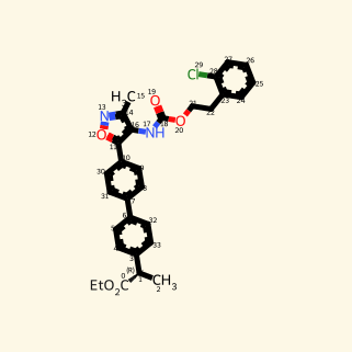 CCOC(=O)[C@H](C)c1ccc(-c2ccc(-c3onc(C)c3NC(=O)OCCc3ccccc3Cl)cc2)cc1